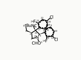 CC(C)(C)C[C@@H]1CN([C]=O)[C@H](c2cccc(Cl)c2F)[C@@]1(C#N)c1ccc(Cl)cc1F